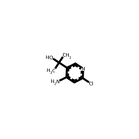 CC(C)(O)c1cnc(Cl)cc1N